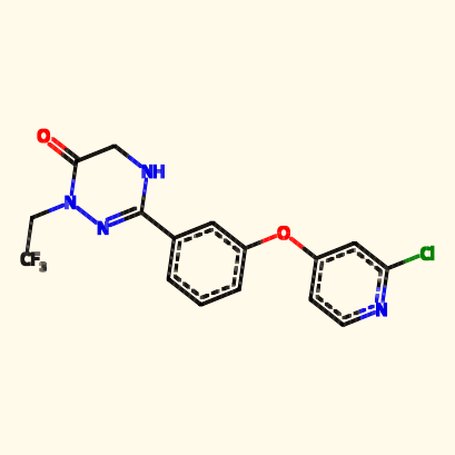 O=C1CNC(c2cccc(Oc3ccnc(Cl)c3)c2)=NN1CC(F)(F)F